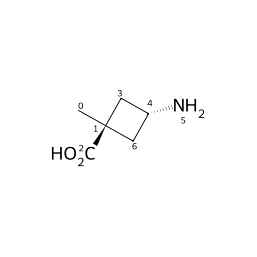 C[C@]1(C(=O)O)C[C@H](N)C1